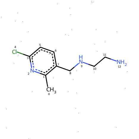 Cc1nc(Cl)ccc1CNCCN